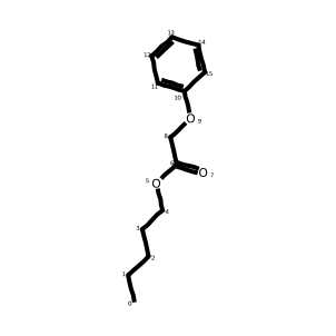 CCCCCOC(=O)COc1ccccc1